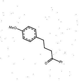 COc1ccc(CCCC(=O)C(C)C)cc1